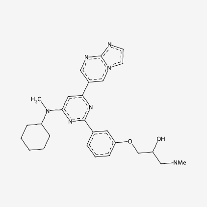 CNCC(O)COc1cccc(-c2nc(-c3cnc4nccn4c3)cc(N(C)C3CCCCC3)n2)c1